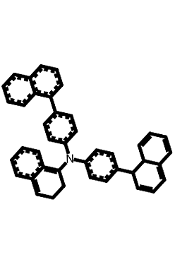 C1=CC2=CC=CC(c3ccc(N(C4=c5ccccc5=CCC4)c4ccc(-c5cccc6ccccc56)cc4)cc3)C2C=C1